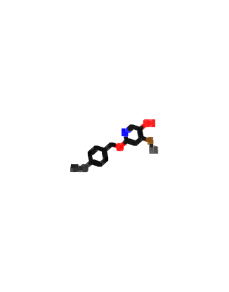 CCSc1cc(OCc2ccc(OC)cc2)ncc1O